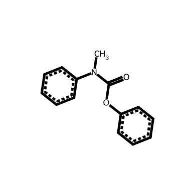 CN(C(=O)Oc1ccccc1)c1ccccc1